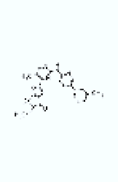 CCN1C(=O)c2cc(-c3nc(Nc4ccc(C5CCCN(C)C5)cn4)ncc3C)sc2C12CC2